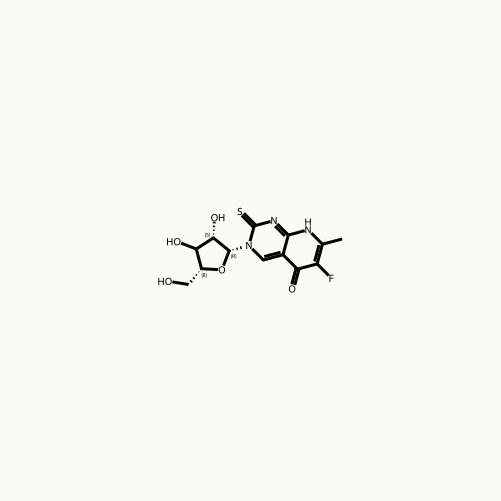 Cc1[nH]c2nc(=S)n([C@@H]3O[C@H](CO)C(O)[C@@H]3O)cc2c(=O)c1F